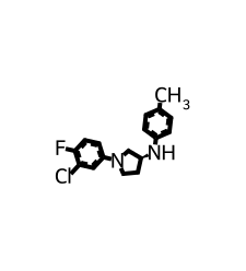 Cc1ccc(N[C@H]2CCN(c3ccc(F)c(Cl)c3)C2)cc1